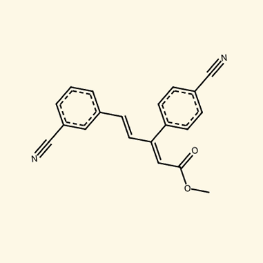 COC(=O)C=C(C=Cc1cccc(C#N)c1)c1ccc(C#N)cc1